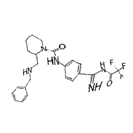 N=C(NC(=O)C(F)(F)F)c1ccc(NC(=O)N2CCCCC2CNCc2ccccc2)cc1